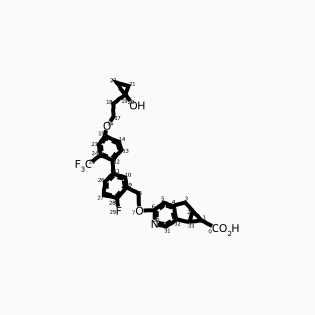 O=C(O)C1C2Cc3cc(OCc4cc(-c5ccc(OCCC6(O)CC6)cc5C(F)(F)F)ccc4F)ncc3C21